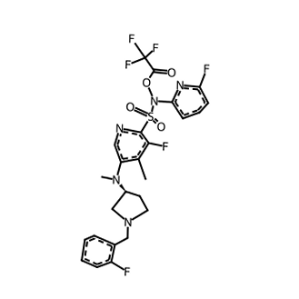 Cc1c(N(C)[C@H]2CCN(Cc3ccccc3F)C2)cnc(S(=O)(=O)N(OC(=O)C(F)(F)F)c2cccc(F)n2)c1F